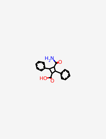 NC(=O)C1C(c2ccccc2)C(C(=O)O)C1c1ccccc1